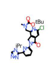 CC(C)n1cnnc1-c1cccc(N2Cc3c(cc(Cl)nc3CN(C)C(=O)OC(C)(C)C)C2=O)n1